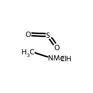 CNC.Cl.O=S=O